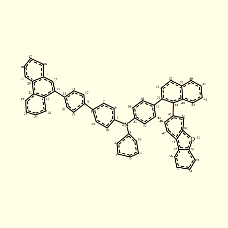 c1ccc(N(c2ccc(-c3ccc(-c4cc5ccccc5c5ccccc45)cc3)cc2)c2ccc(-c3ccc4ccccc4c3-c3ccc4c(c3)oc3ccccc34)cc2)cc1